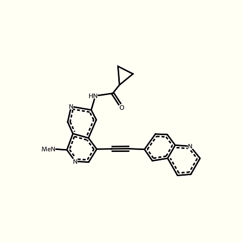 CNc1ncc(C#Cc2ccc3ncccc3c2)c2cc(NC(=O)C3CC3)ncc12